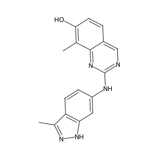 Cc1n[nH]c2cc(Nc3ncc4ccc(O)c(C)c4n3)ccc12